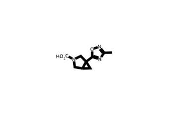 Cc1noc(C23CC2CN(C(=O)O)C3)n1